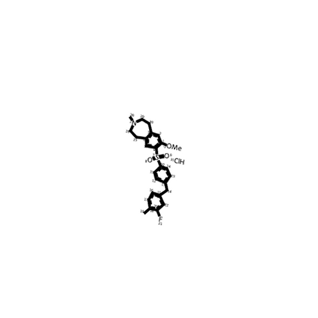 COc1cc2c(cc1S(=O)(=O)c1ccc(Cc3ccc(C)c(F)c3)cc1)CCN(C)CC2.Cl